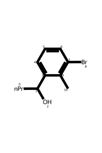 CCCC(O)c1cccc(Br)c1C